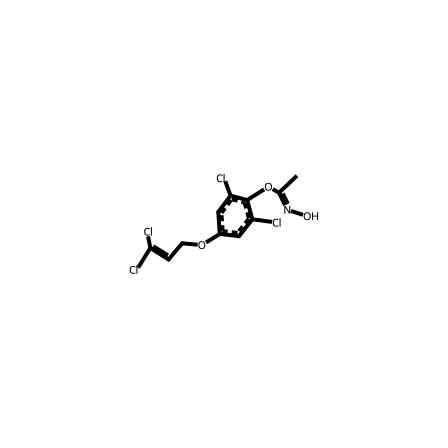 CC(=NO)Oc1c(Cl)cc(OCC=C(Cl)Cl)cc1Cl